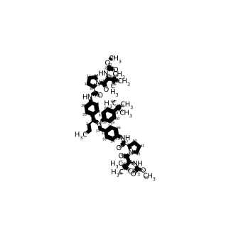 CCC[C@@H](c1ccc(NC(=O)[C@@H]2CCCN2C(=O)[C@@H](NC(=O)OC)C(C)(C)C)cc1)N(Cc1ccc(NC(=O)[C@@H]2CCCN2C(=O)[C@@H](NC(=O)OC)C(C)(C)C)cc1)c1ccc(C(C)(C)C)cc1